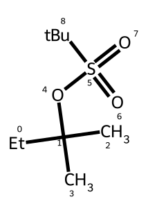 CCC(C)(C)OS(=O)(=O)C(C)(C)C